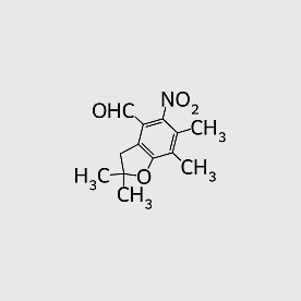 Cc1c(C)c([N+](=O)[O-])c(C=O)c2c1OC(C)(C)C2